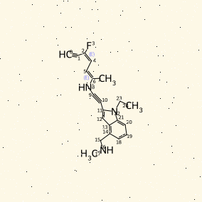 C#C/C(F)=C\C=C(/C)NC#Cc1cc2c(CNC)cccc2n1CC